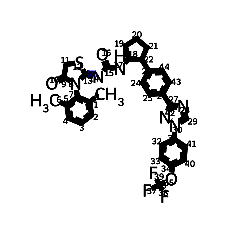 Cc1cccc(C)c1N1C(=O)CS/C1=N\C(=O)NC1CCCC1c1ccc(-c2ncn(-c3ccc(OC(F)(F)F)cc3)n2)cc1